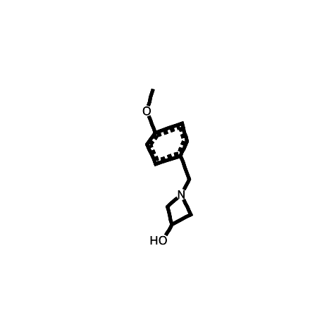 COc1ccc(CN2CC(O)C2)cc1